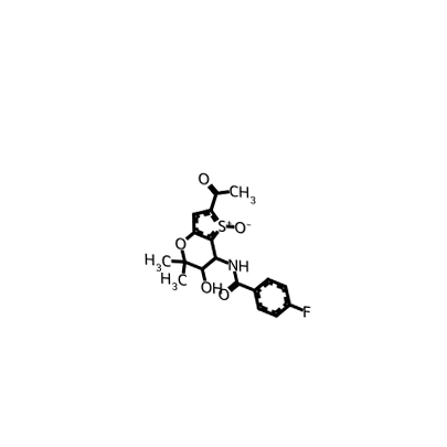 CC(=O)c1cc2c([s+]1[O-])C(NC(=O)c1ccc(F)cc1)C(O)C(C)(C)O2